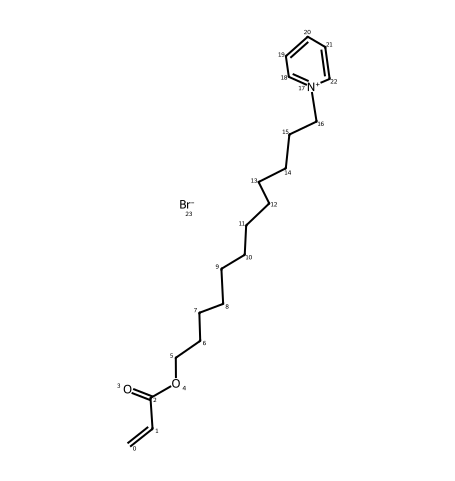 C=CC(=O)OCCCCCCCCCCCC[n+]1ccccc1.[Br-]